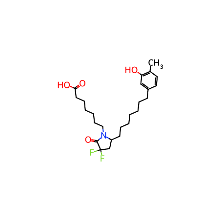 Cc1ccc(CCCCCCCC2CC(F)(F)C(=O)N2CCCCCCC(=O)O)cc1O